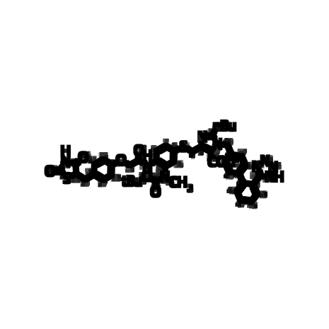 CCCCc1nc(CSc2ccc(NC(=O)COc3ccc(CC4SC(=O)NC4=O)cc3)c(N(C)C(=O)OC(C)(C)C)c2)c(C(=O)OCC)n1Cc1ccc(-c2ccccc2-c2nnn[nH]2)cc1